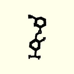 Fc1cc(C(F)F)ccc1COc1cccc(Br)n1